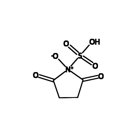 [O][N+]1(S(=O)(=O)O)C(=O)CCC1=O